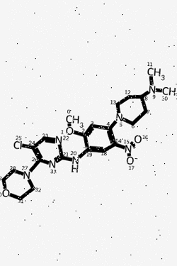 COc1cc(N2CCC(N(C)C)CC2)c([N+](=O)[O-])cc1Nc1ncc(Cl)c(N2CCOCC2)n1